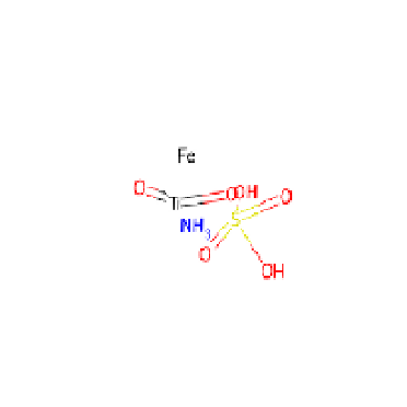 N.O=S(=O)(O)O.[Fe].[O]=[Ti]=[O]